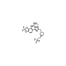 Nc1nc2c3c(ccc2c2nc(CC4CCN(CCC(F)(F)F)C4)nn12)OC(F)(F)O3